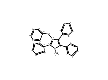 Cn1c(-c2ccccc2)c(-c2ccccc2)[n+](Cc2ccccc2)c1-c1ccccc1